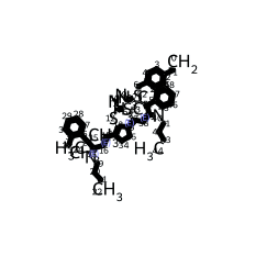 C=Cc1ccc(CSc2nnc(SC3=C(/C=C/C(=N\CCCC)C(C)(C)c4ccccc4CC)CC/C3=C\C=C3\N(CCCC)c4ccccc4C3(C)C)s2)cc1